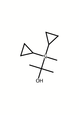 CC(C)(O)[Si](C)(C1CC1)C1CC1